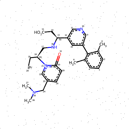 Cc1cccc(C)c1-c1cncc([C@H](CC(=O)O)NC[C@H](CC(C)C)n2cc(CN(C)C)ccc2=O)c1